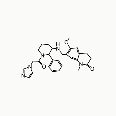 COc1cc2c(cc1CNC1CCCN(C(=O)Cn3ccnc3)C1c1ccccc1)N(C)C(=O)CC2